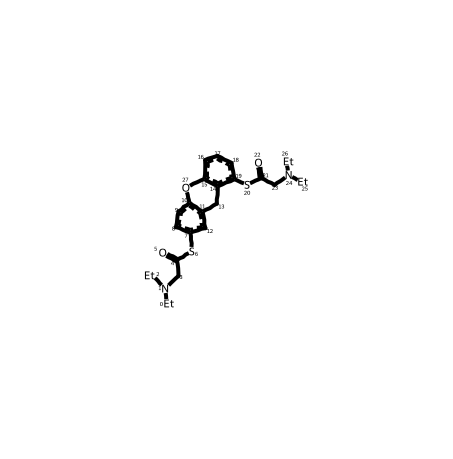 CCN(CC)CC(=O)Sc1ccc2c(c1)Cc1c(cccc1SC(=O)CN(CC)CC)O2